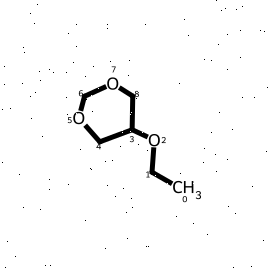 CCOC1COCOC1